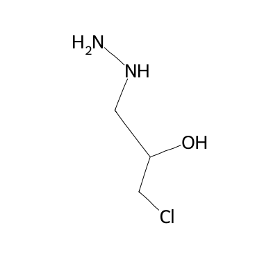 NNCC(O)CCl